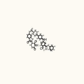 CN(Cc1ccc2c(c1)CN(C1CCC(=O)NC1=O)C2=O)C1CCN(c2ccc(Nc3ncc(C(F)(F)F)c(NCc4cnccn4)n3)cc2)CC1